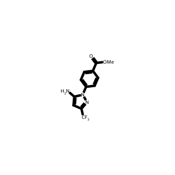 COC(=O)c1ccc(-n2nc(C(F)(F)F)cc2N)cc1